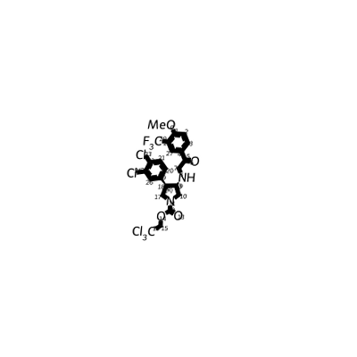 COc1ccc(C(=O)CN[C@@H]2CN(C(=O)OCC(Cl)(Cl)Cl)C[C@H]2c2ccc(Cl)c(Cl)c2)cc1C(F)(F)F